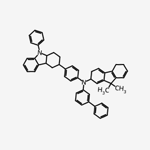 CC1(C)C2=CC(N(c3ccc(C4CCC5C(C4)c4ccccc4N5c4ccccc4)cc3)c3cccc(-c4ccccc4)c3)CC=C2C2=C1C=CCC2